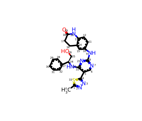 Cc1nnc(-c2cnc(Nc3ccc4c(c3)CCC(=O)N4)nc2N[C@H](CO)c2ccccc2)s1